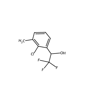 Cc1cccc(C(O)C(F)(F)F)c1Cl